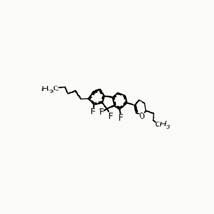 CCCCCc1ccc2c(c1F)C(F)(F)c1c-2ccc(C2=COC(CCC)CC2)c1F